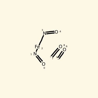 O=[N][Fe][N]=O.[C]=O.[C]=O